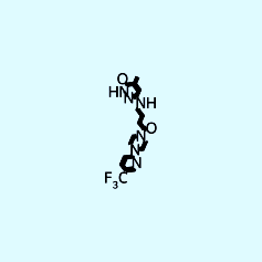 Cc1cc(NCCCC(=O)N2CCN(c3ccc(C(F)(F)F)cn3)CC2)n[nH]c1=O